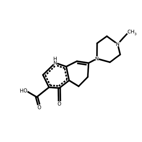 CN1CCN(C2=Cc3[nH]cc(C(=O)O)c(=O)c3CC2)CC1